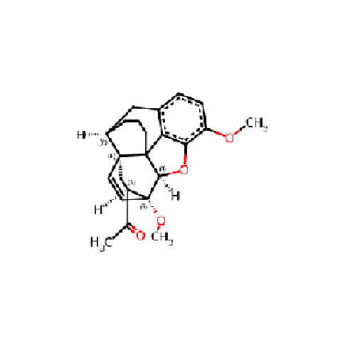 COc1ccc2c3c1O[C@@H]1C34CCC[C@H](C2)[C@]42C=C[C@@]1(OC)[C@@H](C(C)=O)C2